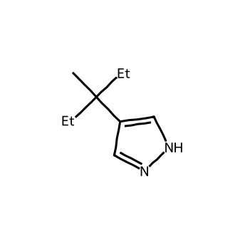 CCC(C)(CC)c1cn[nH]c1